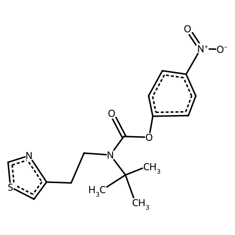 CC(C)(C)N(CCc1cscn1)C(=O)Oc1ccc([N+](=O)[O-])cc1